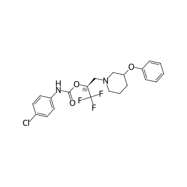 O=C(Nc1ccc(Cl)cc1)O[C@@H](CN1CCCC(Oc2ccccc2)C1)C(F)(F)F